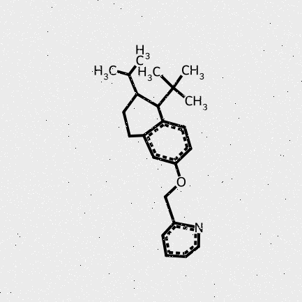 CC(C)C1CCc2cc(OCc3ccccn3)ccc2C1C(C)(C)C